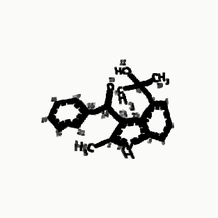 Cc1[nH]c2cccc(C(C)(C)O)c2c1C(=O)c1ccccc1